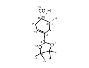 C[C@@H]1CC(B2OC(C)(C)C(C)(C)O2)=CC[C@@H]1C(=O)O